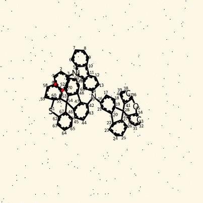 c1ccc(-n2c3ccccc3c3ccc(N(c4ccc5c(c4)-c4ccccc4C54c5ccccc5Oc5ccccc54)c4cccc5c4-c4ccccc4C54c5ccccc5Sc5ccccc54)cc32)cc1